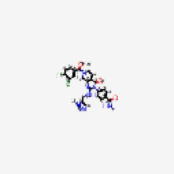 CNC(=O)c1ccc(-n2c(NCc3cnnn3C)nc3c(c2=O)C[C@@H](C)N(C(=O)c2ccc(Cl)c(Cl)c2)C3)cc1